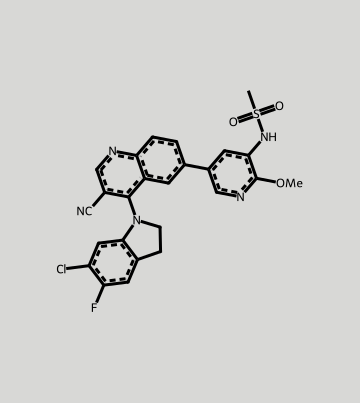 COc1ncc(-c2ccc3ncc(C#N)c(N4CCc5cc(F)c(Cl)cc54)c3c2)cc1NS(C)(=O)=O